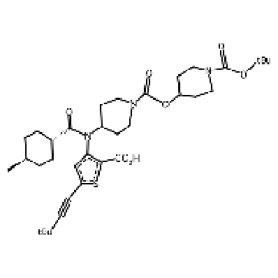 CC(C)(C)C#Cc1cc(N(C(=O)[C@H]2CC[C@H](C)CC2)C2CCN(C(=O)OC3CCN(C(=O)OC(C)(C)C)CC3)CC2)c(C(=O)O)s1